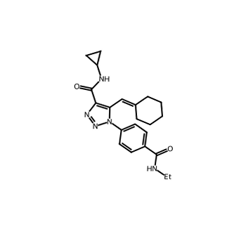 CCNC(=O)c1ccc(-n2nnc(C(=O)NC3CC3)c2C=C2CCCCC2)cc1